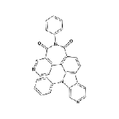 O=c1c2cnccc2c2c(ccc3c4ccncc4n(-c4ccccc4)c32)c(=O)n1-c1ccccc1